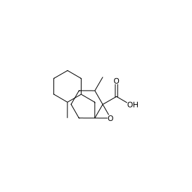 CC1CCCCC1CC12CCCC(C)C1(C(=O)O)O2